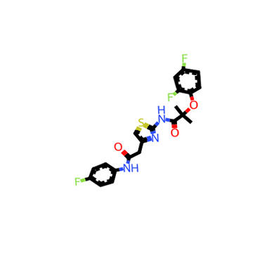 CC(C)(Oc1ccc(F)cc1F)C(=O)Nc1nc(CC(=O)Nc2ccc(F)cc2)cs1